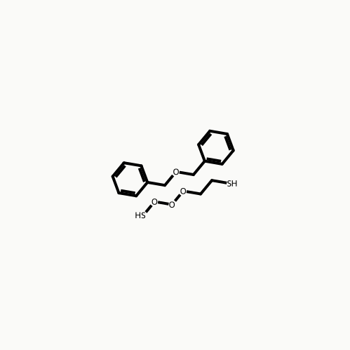 SCCOOOS.c1ccc(COCc2ccccc2)cc1